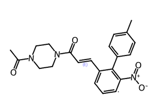 CC(=O)N1CCN(C(=O)/C=C/c2cc[c]c([N+](=O)[O-])c2-c2ccc(C)cc2)CC1